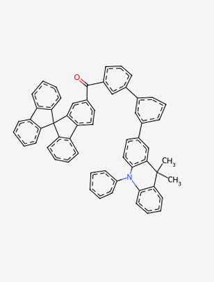 CC1(C)c2ccccc2N(c2ccccc2)c2ccc(-c3cccc(-c4cccc(C(=O)c5ccc6c(c5)C5(c7ccccc7-c7ccccc75)c5ccccc5-6)c4)c3)cc21